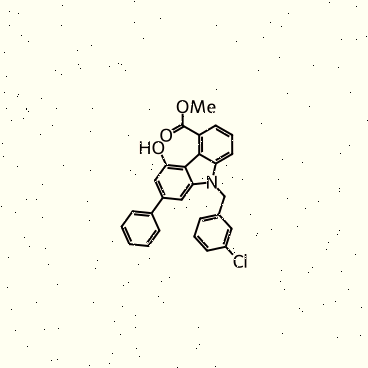 COC(=O)c1cccc2c1c1c(O)cc(-c3ccccc3)cc1n2Cc1cccc(Cl)c1